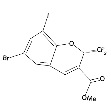 COC(=O)C1=Cc2cc(Br)cc(I)c2O[C@@H]1C(F)(F)F